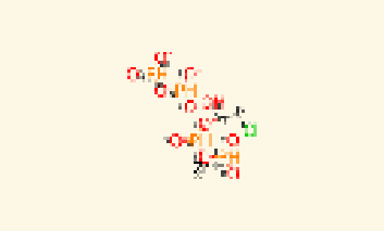 O=[PH]([O-])O[PH](=O)[O-].O=[PH]([O-])O[PH](=O)[O-].OCCCl.[Zr+4]